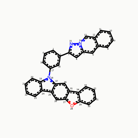 c1cc(-c2cc3cc4ccccc4cn3n2)cc(-n2c3ccccc3c3cc4oc5ccccc5c4cc32)c1